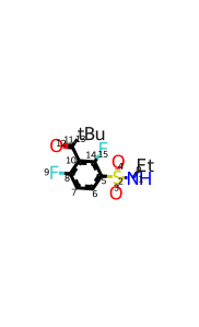 CCNS(=O)(=O)c1ccc(F)c(C(=O)C(C)(C)C)c1F